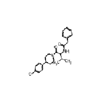 CC(C)C(NC(=O)Cc1ccccc1)C(=O)N1CCC(c2ccc(Cl)cc2)CC1